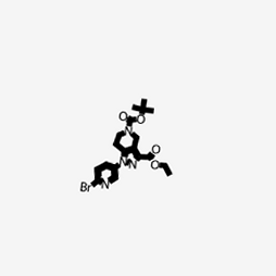 CCOC(=O)c1nn(-c2ccc(Br)nc2)c2c1CN(C(=O)OC(C)(C)C)CC2